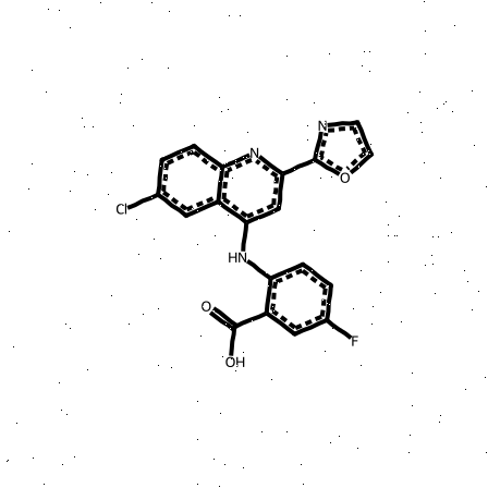 O=C(O)c1cc(F)ccc1Nc1cc(-c2ncco2)nc2ccc(Cl)cc12